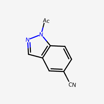 CC(=O)n1ncc2cc(C#N)ccc21